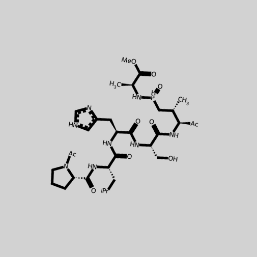 COC(=O)[C@H](C)N[PH](=O)C[C@H](C)[C@H](NC(=O)[C@H](CO)NC(=O)[C@H](Cc1c[nH]cn1)NC(=O)[C@H](CC(C)C)NC(=O)[C@@H]1CCCN1C(C)=O)C(C)=O